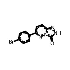 O=c1[nH]nc2ccc(-c3ccc(Br)cc3)nn12